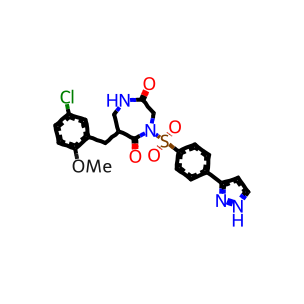 COc1ccc(Cl)cc1CC1CNC(=O)CN(S(=O)(=O)c2ccc(-c3cc[nH]n3)cc2)C1=O